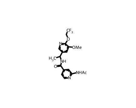 COc1cc(C(C)NC(=O)c2ccnc(NC(C)=O)c2)cnc1OCC(F)(F)F